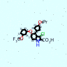 CC(C)Oc1ccc(-c2c(Oc3cccc(OC(F)(F)F)c3)ccc3[nH]c(C(=O)O)c(Cl)c23)cc1